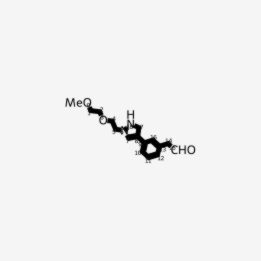 COCCOCCN1C=C(c2cccc(CC=O)c2)CN1